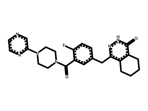 O=C(c1cc(Cc2n[nH]c(=O)c3c2CCCC3)ccc1F)N1CCN(c2cnccn2)CC1